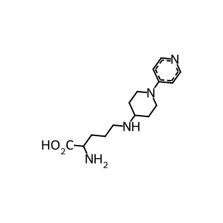 NC(CCCNC1CCN(c2ccncc2)CC1)C(=O)O